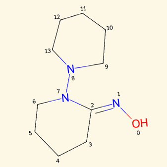 O/N=C1\CCCCN1N1CCCCC1